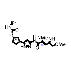 CN/C(=C\C(=N)COC)C(=O)Nc1cc(C2CC[C@@H](OC(=O)NC(C)C)C2)[nH]n1